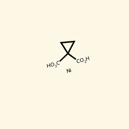 O=C(O)C1(C(=O)O)CC1.[Ni]